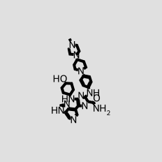 CN1CCN(C2CCN(c3ccc(Nc4nc(N[C@H]5CC[C@H](O)CC5)c(-c5cncc6[nH]cnc56)nc4C(N)=O)cc3)CC2)CC1